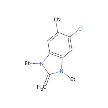 C=C1N(CC)c2cc(Cl)c(C#N)cc2N1CC